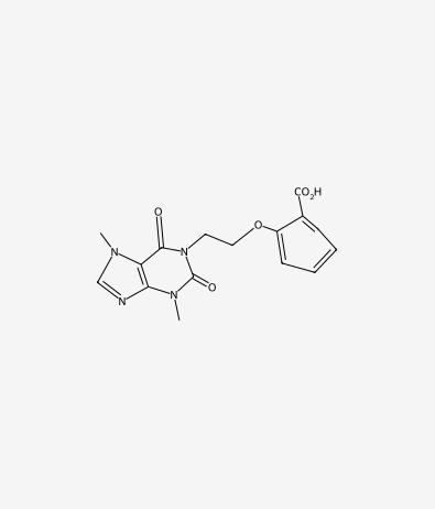 Cn1cnc2c1c(=O)n(CCOc1ccccc1C(=O)O)c(=O)n2C